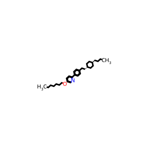 CCCCCCCOc1ccc(-c2ccc(CC[C@H]3CC[C@H](CCCC)CC3)cc2)nc1